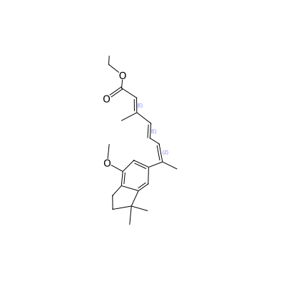 CCOC(=O)/C=C(C)/C=C/C=C(/C)c1cc(OC)c2c(c1)C(C)(C)CC2